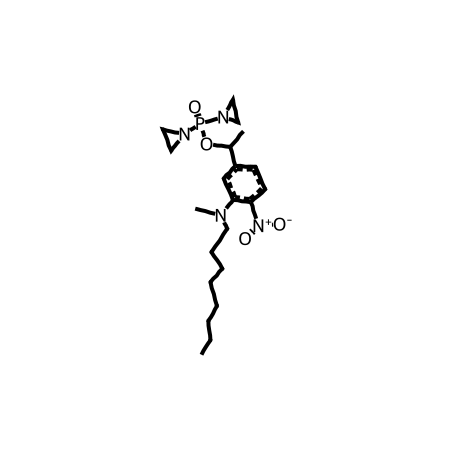 CCCCCCCCN(C)c1cc(C(C)OP(=O)(N2CC2)N2CC2)ccc1[N+](=O)[O-]